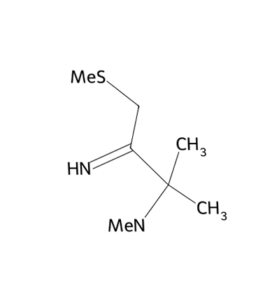 CNC(C)(C)C(=N)CSC